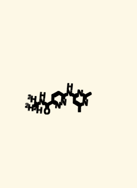 [2H]C([2H])([2H])NC(=O)c1ccc(Nc2cc(C)nc(C)n2)nn1